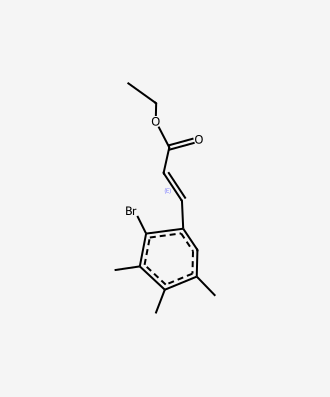 CCOC(=O)/C=C/c1cc(C)c(C)c(C)c1Br